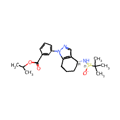 CC(C)OC(=O)c1cccc(-n2ncc3c2CCC[C@H]3N[S@+]([O-])C(C)(C)C)c1